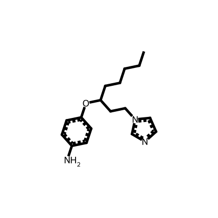 CCCCCC(CCn1ccnc1)Oc1ccc(N)cc1